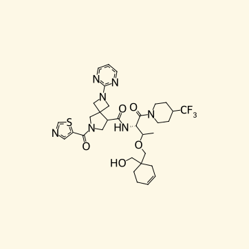 CC(OCC1(CO)CC=CCC1)[C@H](NC(=O)C1CN(C(=O)c2cncs2)CC12CN(c1ncccn1)C2)C(=O)N1CCC(C(F)(F)F)CC1